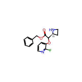 O=C(OCc1ccccc1)C(Oc1cccnc1F)[C@@H]1CCN1